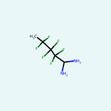 CC(F)(F)C(F)(F)C(F)(F)C(N)N